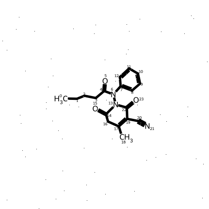 CCCCC(=O)N(c1ccccc1)N1C(=O)CC(C)=C(C#N)C1=O